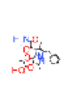 Cc1cc(OC(C)C(=O)O)c2c(C(=O)C(N)=O)c(C)c(Cc3ccccc3)n2n1